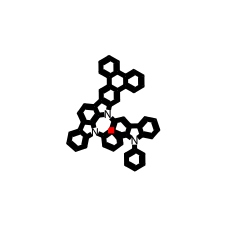 c1ccc(-n2c3ccccc3c3cc(-n4c5cc6c7ccccc7c7ccccc7c6cc5c5ccc6c7ccccc7n(-c7ccccc7)c6c54)ccc32)cc1